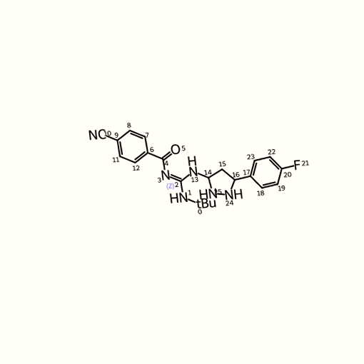 CC(C)(C)N/C(=N/C(=O)c1ccc(C#N)cc1)NC1CC(c2ccc(F)cc2)NN1